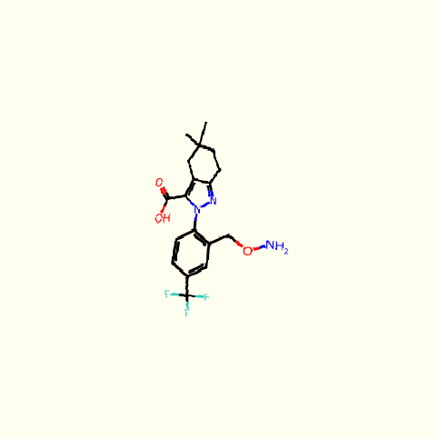 CC1(C)CCc2nn(-c3ccc(C(F)(F)F)cc3CON)c(C(=O)O)c2C1